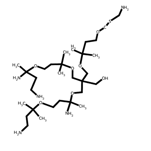 CC(C)(CCN)OCCC(C)(N)OCC(CO)(COC(C)(C)CCOCSCN)COC(C)(C)CCOC(C)(N)CCN